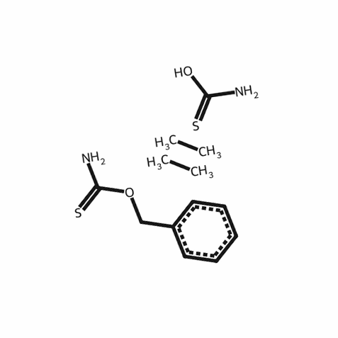 CC.CC.NC(=S)OCc1ccccc1.NC(O)=S